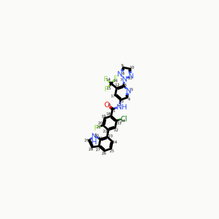 O=C(Nc1cnc(-n2nccn2)c(C(F)(F)F)c1)c1cc(F)c(-c2cccc3cc[nH]c23)cc1Cl